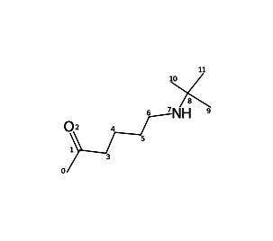 CC(=O)CCCCNC(C)(C)C